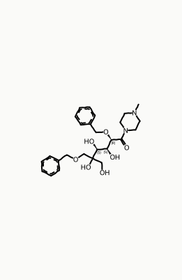 CN1CCN(C(=O)[C@H](OCc2ccccc2)[C@@H](O)[C@H](O)C(O)(CO)COCc2ccccc2)CC1